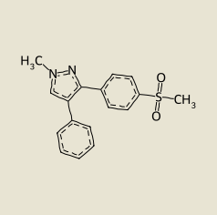 Cn1cc(-c2ccccc2)c(-c2ccc(S(C)(=O)=O)cc2)n1